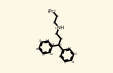 CC(C)CCNCCC(c1ccccc1)c1ccccc1